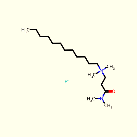 CCCCCCCCCCCC[N+](C)(C)CCC(=O)N(C)C.[F-]